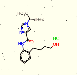 CCCCCCC(C(=O)O)n1cnc(C(=O)Nc2ccccc2CCCCO)c1.Cl